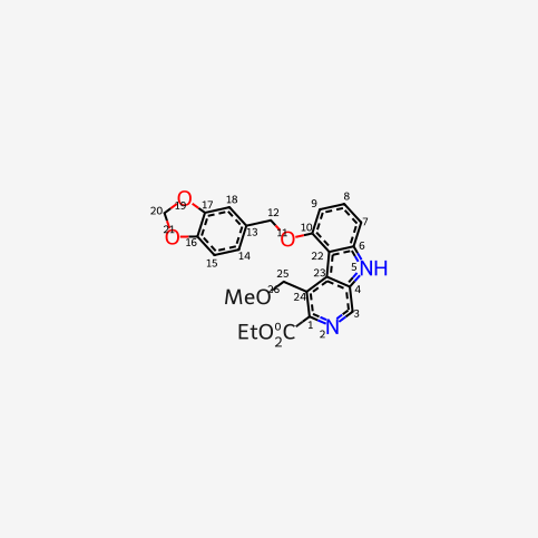 CCOC(=O)c1ncc2[nH]c3cccc(OCc4ccc5c(c4)OCO5)c3c2c1COC